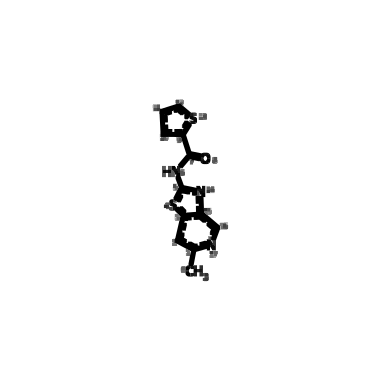 Cc1cc2sc(NC(=O)c3cccs3)nc2cn1